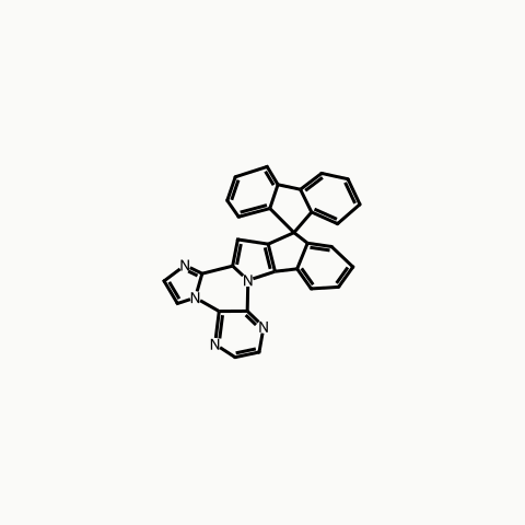 c1ccc2c(c1)-c1ccccc1C21c2ccccc2-c2c1cc1c3nccn3c3nccnc3n21